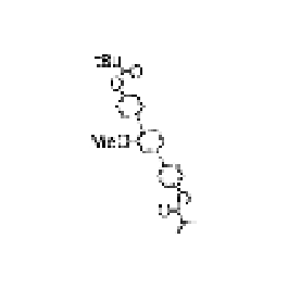 C=C(C)C(=O)Oc1ccc(-c2ccc(-c3ccc(OC(=O)C(C)(C)C)cc3)c(OC)c2)cc1